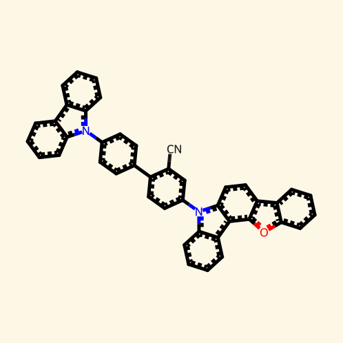 N#Cc1cc(-n2c3ccccc3c3c4oc5ccccc5c4ccc32)ccc1-c1ccc(-n2c3ccccc3c3ccccc32)cc1